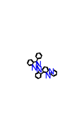 c1ccc(-c2nc(-n3c4ccccc4c4c5nc6ccccn6c5ccc43)nc3ccccc23)cc1